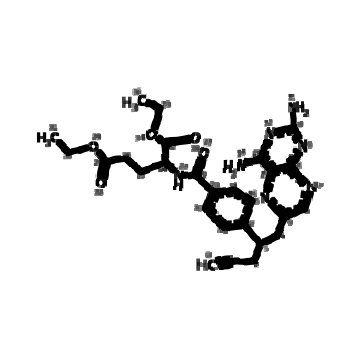 C#CCC(Cc1cnc2nc(N)nc(N)c2n1)c1ccc(C(=O)NC(CCC(=O)OCC)C(=O)OCC)cc1